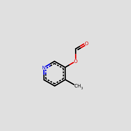 Cc1ccncc1OC=O